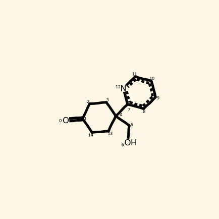 O=C1CCC(CO)(c2ccccn2)CC1